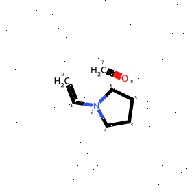 C=CN1CCCC1.C=O